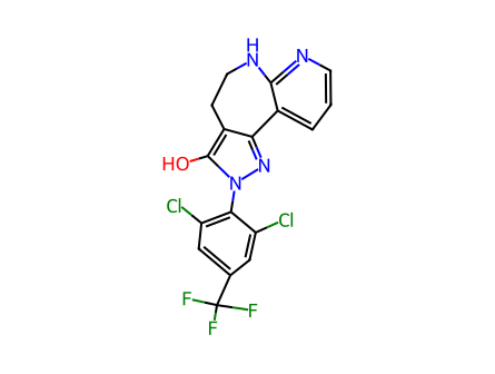 Oc1c2c(nn1-c1c(Cl)cc(C(F)(F)F)cc1Cl)-c1cccnc1NCC2